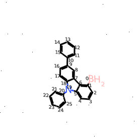 Bc1cccc2c1c1cc(-c3ccccc3)ccc1n2-c1ccccc1